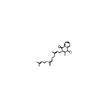 CC(C)=CCCC(C)=CCCC(C)=CCC1=C(C)C(=O)c2ccccc2C1=O